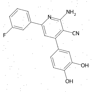 N#Cc1c(-c2ccc(O)c(O)c2)cc(-c2cccc(F)c2)nc1N